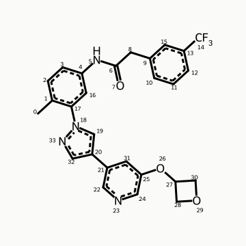 Cc1ccc(NC(=O)Cc2cccc(C(F)(F)F)c2)cc1-n1cc(-c2cncc(OC3COC3)c2)cn1